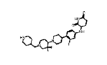 O=C1CCC(Nc2ccc(C3CCN(C4CCN(CC5CCNCC5)CC4(F)F)CC3)c(F)c2)C(=O)N1